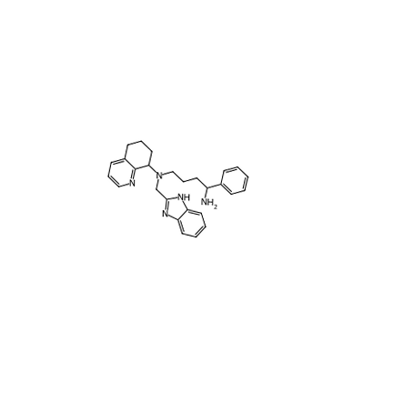 NC(CCCN(Cc1nc2ccccc2[nH]1)C1CCCc2cccnc21)c1ccccc1